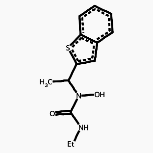 CCNC(=O)N(O)C(C)c1cc2ccccc2s1